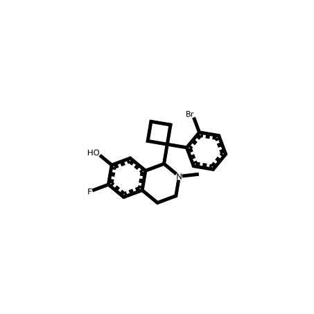 CN1CCc2cc(F)c(O)cc2C1C1(c2ccccc2Br)CCC1